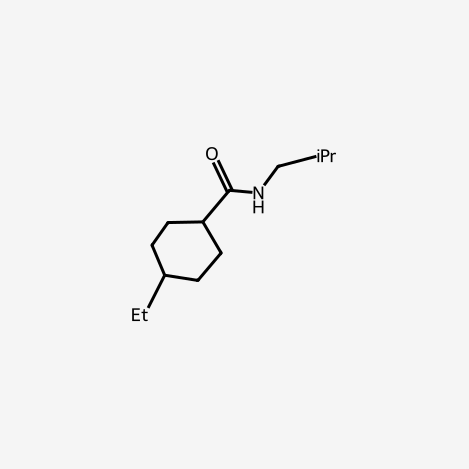 CCC1CCC(C(=O)NCC(C)C)CC1